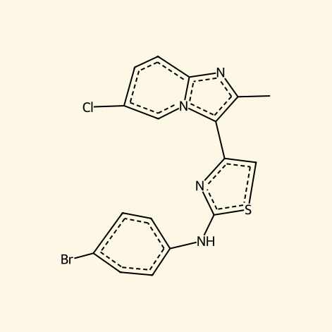 Cc1nc2ccc(Cl)cn2c1-c1csc(Nc2ccc(Br)cc2)n1